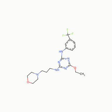 CCOc1nc(NCCCN2CCOCC2)nc(Nc2cccc(C(F)(F)F)c2)n1